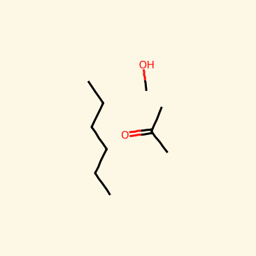 CC(C)=O.CCCCCC.CO